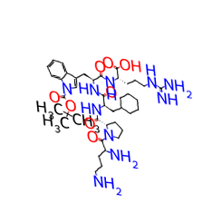 CC(C)(C)OC(=O)n1cc(C[C@H](NC(=O)[C@@H](CC2CCCCC2)NC(=O)[C@@H]2CCCN2C(=O)[C@@H](N)CCCN)C(=O)N[C@@H](CCCNC(=N)N)C(=O)O)c2ccccc21